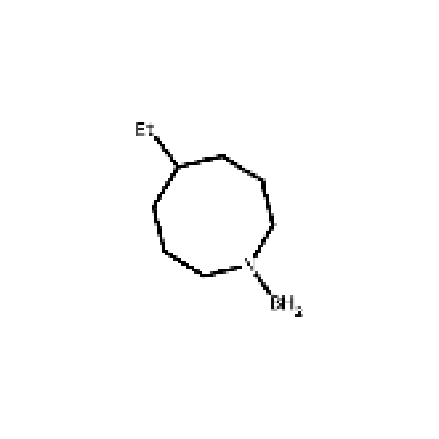 BN1CCCC(CC)CCC1